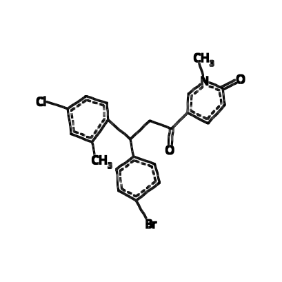 Cc1cc(Cl)ccc1C(CC(=O)c1ccc(=O)n(C)c1)c1ccc(Br)cc1